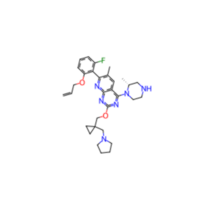 C=CCOc1cccc(F)c1-c1nc2nc(OCC3(CN4CCCC4)CC3)nc(N3CCNC[C@H]3C)c2cc1C